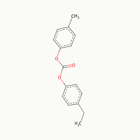 CCc1ccc(OC(=O)Oc2ccc(C)cc2)cc1